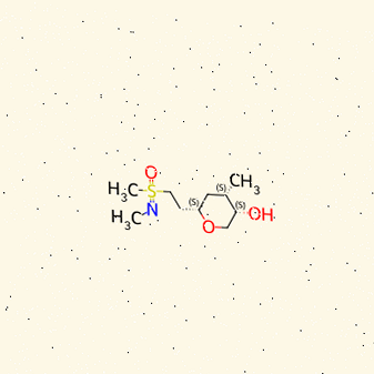 CN=S(C)(=O)CC[C@@H]1C[C@H](C)[C@H](O)CO1